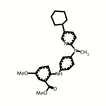 COC(=O)c1cc(OC)ccc1Nc1ccc(N(C)c2ccc(C3CCCCC3)cn2)cc1